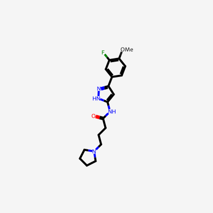 COc1ccc(-c2cc(NC(=O)CCCN3CCCC3)[nH]n2)cc1F